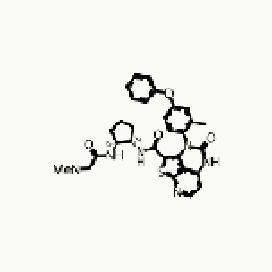 CNCC(=O)N[C@H]1CCC[C@@H]1NC(=O)c1sc2nccc3c2c1N(c1ccc(Oc2ccccc2)cc1C)C(=O)N3